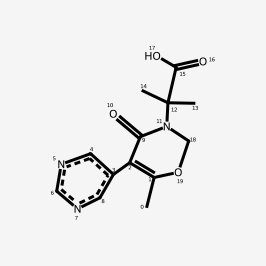 CC1=C(c2cncnc2)C(=O)N(C(C)(C)C(=O)O)CO1